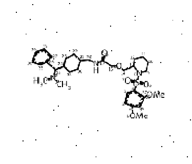 COc1ccc(S(=O)(=O)N2CCCCC2COCC(=O)NCC2CCC(C(c3ccccc3)N(C)C)CC2)c(OC)c1